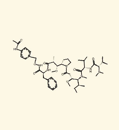 CC[C@H](C)[C@@H]([C@@H](CC(=O)N1CCC[C@H]1[C@H](OC)[C@@H](C)C(=O)N[C@@H](Cc1ccccc1)C(=O)NOCc1ccc(NC(C)=O)cc1)OC)N(C)C(=O)[C@@H](NC(=O)[C@H](C(C)C)N(C)C)C(C)C